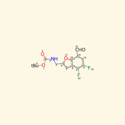 CC(C)(C)OC(=O)NCc1cc2c(F)c(F)cc(C=O)c2o1